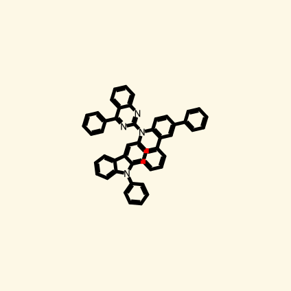 c1ccc(-c2ccc(N(c3ccc4c(c3)c3ccccc3n4-c3ccccc3)c3nc(-c4ccccc4)c4ccccc4n3)c(-c3ccccc3)c2)cc1